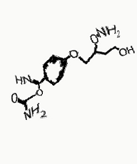 N=C(OC(N)=O)c1ccc(OCC(CCO)ON)cc1